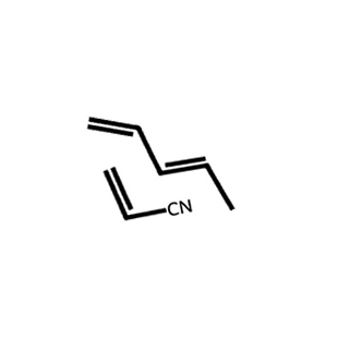 C=CC#N.C=CC=CC